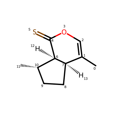 CC1=COC(=S)[C@H]2[C@@H]1CC[C@@H]2C